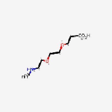 CCCNCCOCCOCCC(=O)O